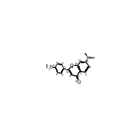 CN(C)c1ccc2c(=O)cc(-c3ccc(C(F)(F)F)cc3)oc2c1